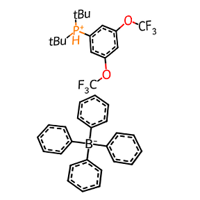 CC(C)(C)[PH+](c1cc(OC(F)(F)F)cc(OC(F)(F)F)c1)C(C)(C)C.c1ccc([B-](c2ccccc2)(c2ccccc2)c2ccccc2)cc1